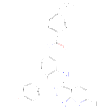 COc1ccc(C(=O)Nc2ccc(Oc3ccc(O)cc3)c(Nc3ncnc4nc(C(C)C)ccc34)c2)cc1